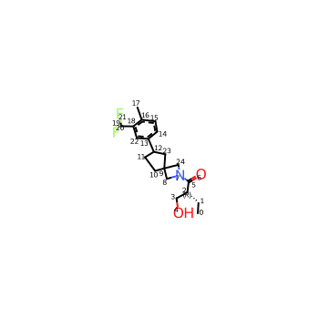 CC[C@H](CO)C(=O)N1CC2(CCC(c3ccc(C)c(C(F)F)c3)C2)C1